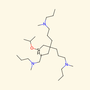 CCCN(C)CCCC(CCCN(C)CCC)(CCCN(C)CCC)C[SiH2]OC(C)C